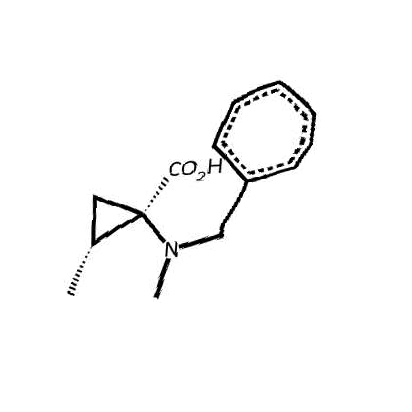 C[C@@H]1C[C@@]1(C(=O)O)N(C)Cc1ccccc1